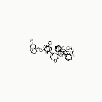 CC(C)(C)[Si](O[C@@]1(C)COCCN(c2nc(Cl)nc(OC[C@@]34CCCN3C[C@H](F)C4)n2)C1)(c1ccccc1)c1ccccc1